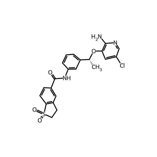 C[C@@H](Oc1cc(Cl)cnc1N)c1cccc(NC(=O)c2ccc3c(c2)CCS3(=O)=O)c1